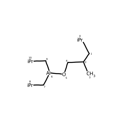 CC(C)CC(C)C[O][Al]([CH2]C(C)C)[CH2]C(C)C